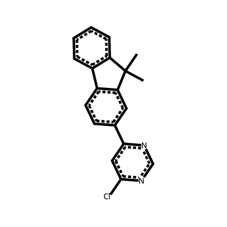 CC1(C)c2ccccc2-c2ccc(-c3cc(Cl)ncn3)cc21